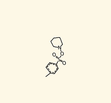 Cc1ccc(S(=O)(=O)ON2CCCCC2)cc1